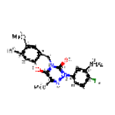 COc1cc(Cn2c(=O)c(OC)nn(-c3ccc(F)c(NC(C)=O)c3)c2=O)ccc1C(C)C